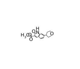 COC(=O)c1cc2ccc(C3CCOCC3)cc2[nH]c1=O